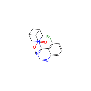 COC(=O)C1C2CC1CN(c1ncnc3cccc(Br)c13)C2